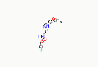 COc1ccc(-c2ccnc(SCCCCNC(=O)COCc3ccc(F)cc3)n2)cc1